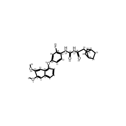 COc1cc2cccc(Oc3ccc(NC(=O)NC(=O)CC4C5CCC4CC5)c(F)c3)c2cc1OC